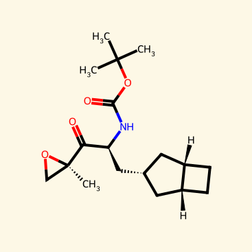 CC(C)(C)OC(=O)N[C@@H](C[C@H]1C[C@H]2CC[C@H]2C1)C(=O)[C@@]1(C)CO1